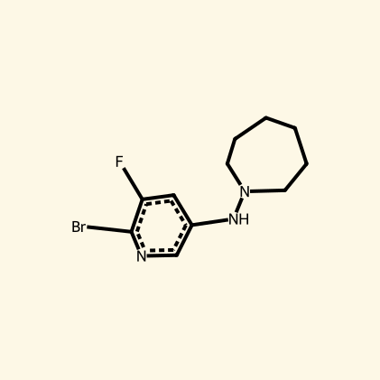 Fc1cc(NN2CCCCCC2)cnc1Br